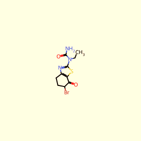 CCN(C(N)=O)c1nc2c(s1)C(=O)C(Br)CC2